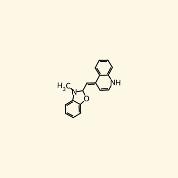 CN1c2ccccc2OC1C=C1C=CNc2ccccc21